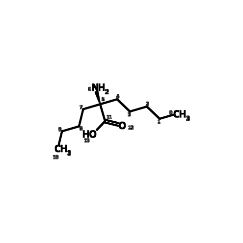 CCCCC[C@@](N)(CCCC)C(=O)O